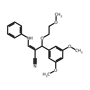 COCCOC(C(C#N)=CNc1ccccc1)c1cc(OC)cc(OC)c1